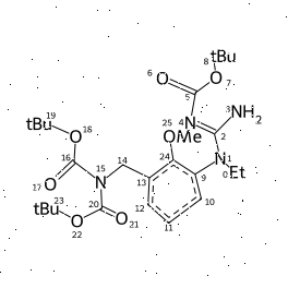 CCN(C(N)=NC(=O)OC(C)(C)C)c1cccc(CN(C(=O)OC(C)(C)C)C(=O)OC(C)(C)C)c1OC